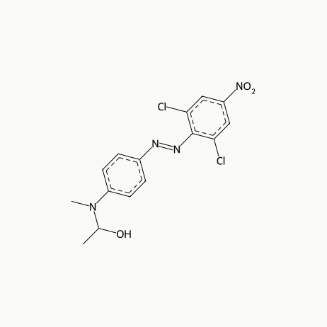 CC(O)N(C)c1ccc(/N=N/c2c(Cl)cc([N+](=O)[O-])cc2Cl)cc1